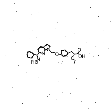 CCOC(Cc1ccc(OCCn2ccc3ccc(C(=NO)c4ccccc4)nc32)cc1)C(=O)O